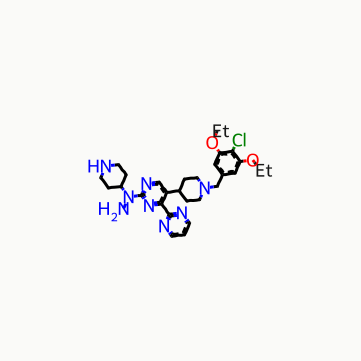 CCOc1cc(CN2CCC(c3cnc(N(N)C4CCNCC4)nc3-c3ncccn3)CC2)cc(OCC)c1Cl